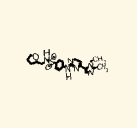 CCn1c(-c2ccnc(Nc3ccc(S(=O)(=O)NCC4CCCO4)cc3)n2)cnc1C